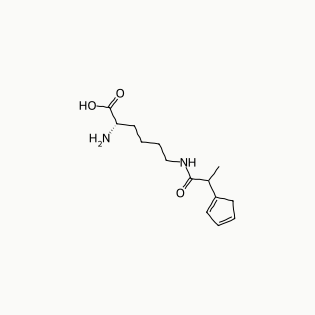 CC(C(=O)NCCCC[C@H](N)C(=O)O)C1=CC=CC1